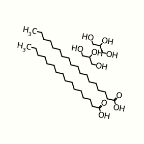 CCCCCCCCCCCCCCCC(=O)O.CCCCCCCCCCCCCCCCCC(=O)O.OCC(O)CO.OCC(O)CO